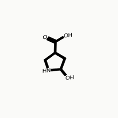 O=C(O)C1CNC(O)C1